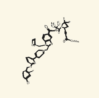 COC(=O)C#CC1CC(F)(F)CN1C(=O)C(C)([SiH3])NC(=O)c1ccc2c(c1)nc(CN1CC=C(c3cccc(OCc4ccc(Cl)cc4F)n3)CC1)n2C[C@@H]1CCO1